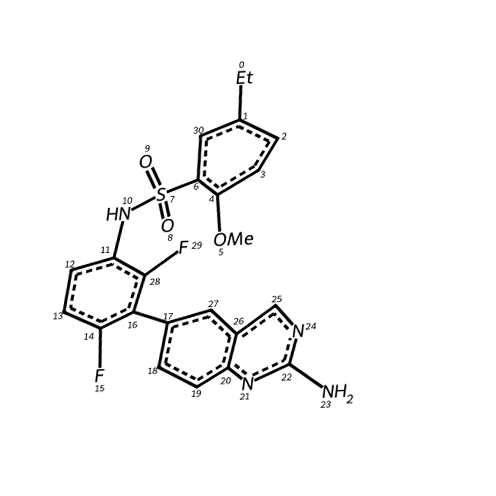 CCc1ccc(OC)c(S(=O)(=O)Nc2ccc(F)c(-c3ccc4nc(N)ncc4c3)c2F)c1